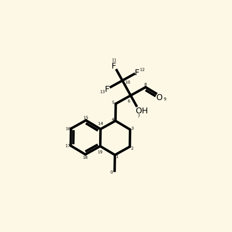 CC1CCC(CC(O)(C=O)C(F)(F)F)c2ccccc21